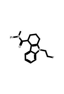 CC(C)N(C)C(=O)C1CCCc2c1c1ccccc1n2CCF